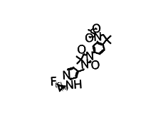 CC1(C)CN(S(C)(=O)=O)c2cc(N3C(=O)N(Cc4ccnc(N[C@@H]5C[C@@H]5F)c4)C(C)(C)C3=O)ccc21